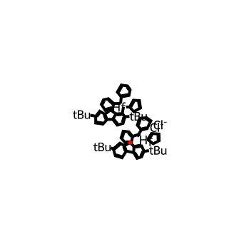 CC(C)(C)c1ccc2c(c1)Cc1c-2ccc(C(C)(C)C)[c]1[Hf]([C]1=CC=CC1)=[C](c1ccccc1)c1ccccc1.CC(C)(C)c1ccc2c(c1)Cc1c-2ccc(C(C)(C)C)[c]1[Hf]([C]1=CC=CC1)=[C](c1ccccc1)c1ccccc1.[Cl-].[Cl-]